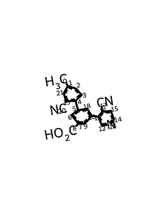 Cc1ccc(-c2cc(C(=O)O)cc(-c3cnccc3C#N)c2)c(C#N)c1